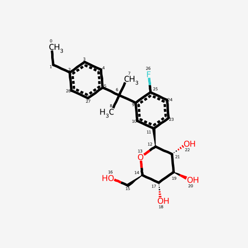 CCc1ccc(C(C)(C)c2cc([C@@H]3O[C@H](CO)[C@@H](O)[C@H](O)[C@H]3O)ccc2F)cc1